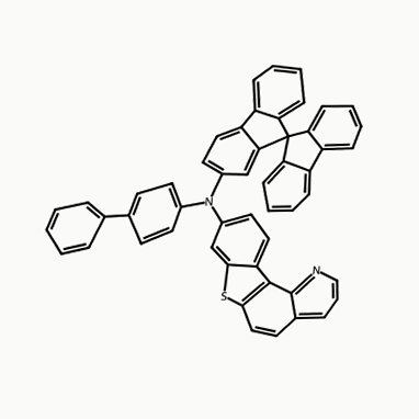 c1ccc(-c2ccc(N(c3ccc4c(c3)C3(c5ccccc5-c5ccccc53)c3ccccc3-4)c3ccc4c(c3)sc3ccc5cccnc5c34)cc2)cc1